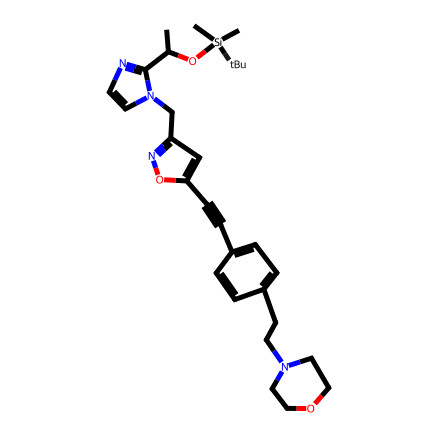 CC(O[Si](C)(C)C(C)(C)C)c1nccn1Cc1cc(C#Cc2ccc(CCN3CCOCC3)cc2)on1